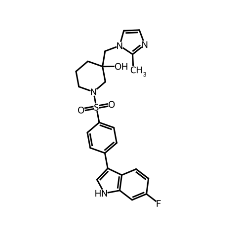 Cc1nccn1CC1(O)CCCN(S(=O)(=O)c2ccc(-c3c[nH]c4cc(F)ccc34)cc2)C1